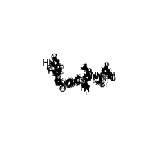 Cn1cc(-c2cc(Nc3ncc(Br)c(Nc4ccc(F)cc4P(C)(C)=O)n3)c(OC3CC3)cc2N2CCC(N3CCN(C(=O)[C@@H]4CCN(c5cc(F)c(C6CCC(=O)NC6=O)c(F)c5)C4)CC3)CC2)cn1